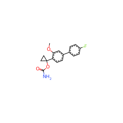 COc1cc(-c2ccc(F)cc2)ccc1C1(OC(N)=O)CC1